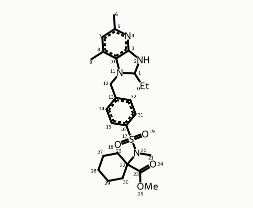 CCC1Nc2nc(C)cc(C)c2N1Cc1ccc(S(=O)(=O)N(C)C2(C(=O)OC)CCCCC2)cc1